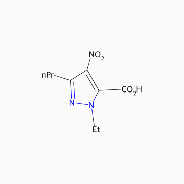 CCCc1nn(CC)c(C(=O)O)c1[N+](=O)[O-]